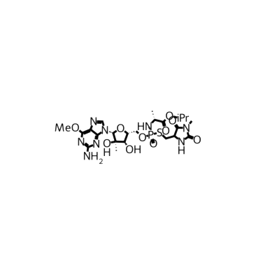 COc1nc(N)nc2c1ncn2[C@@H]1O[C@H](CO[P@@](=O)(N[C@H](C)C(=O)OC(C)C)SCC2NC(=O)N(C)C2=O)[C@@H](O)[C@@]1(C)O